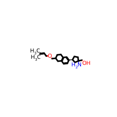 CC(C)=CCOCC1CCc2cc([C@H]3CC[C@](N)(CO)C3)ccc2C1